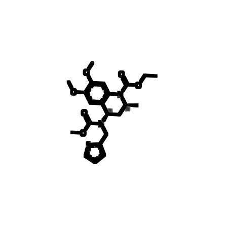 CCOC(=O)N1c2cc(OC)c(OC)cc2[C@H](N(Cc2cccs2)C(=O)OC)C[C@@H]1C